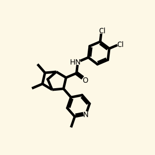 Cc1cc(C2C3CC(C(C)C3C)C2C(=O)Nc2ccc(Cl)c(Cl)c2)ccn1